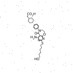 Nc1nc(SCCCCCCO)nc2c1C(=O)N(c1ccc([C@H]3CC[C@H](CC(=O)O)CC3)cc1)CCO2